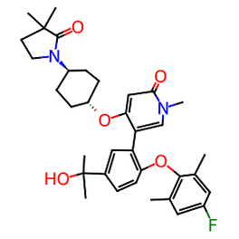 Cc1cc(F)cc(C)c1Oc1ccc(C(C)(C)O)cc1-c1cn(C)c(=O)cc1O[C@H]1CC[C@H](N2CCC(C)(C)C2=O)CC1